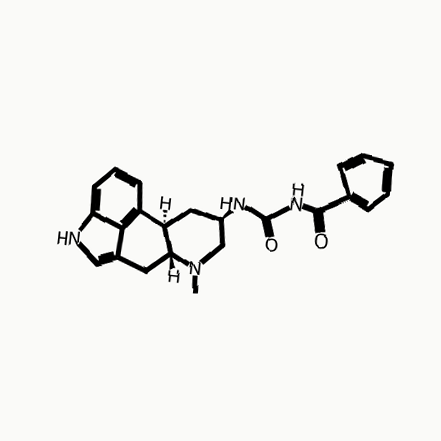 CN1C[C@H](NC(=O)NC(=O)c2ccccc2)C[C@@H]2c3cccc4[nH]cc(c34)C[C@H]21